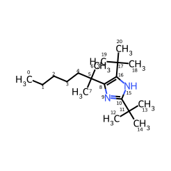 CCCCCC(C)(C)c1nc(C(C)(C)C)[nH]c1C(C)(C)C